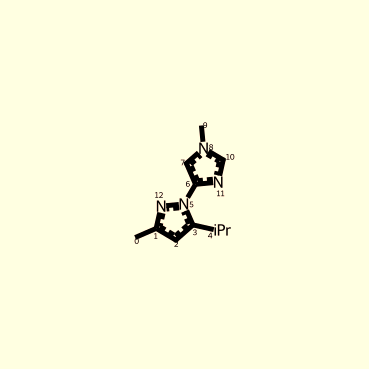 Cc1cc(C(C)C)n(-c2cn(C)cn2)n1